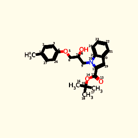 Cc1ccc(OCC(O)Cn2c(C(=O)OC(C)(C)C)cc3ccccc32)cc1